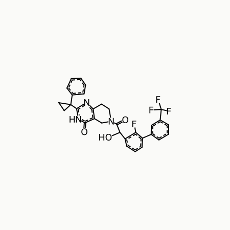 O=C(C(O)c1cccc(-c2cccc(C(F)(F)F)c2)c1F)N1CCc2nc(C3(c4ccccc4)CC3)[nH]c(=O)c2C1